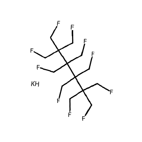 FCC(CF)(CF)C(CF)(CF)C(CF)(CF)C(CF)(CF)CF.[KH]